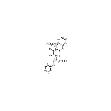 CCOC(=O)[C@H](CCc1ccccc1)NC(C)C(=O)N1CCC2CCSCC2[C@H]1C(=O)O